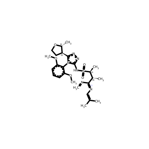 C=N/C(=N\C=C(C)C)[C@@H](C)[C@H](C)S(=O)(=O)Nc1nnc([C@H]2CCO[C@@H]2C)n1-c1c(OC)cccc1OC